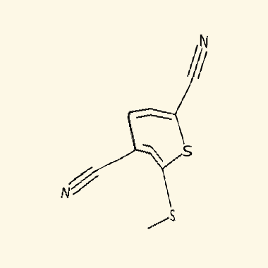 CSc1sc(C#N)cc1C#N